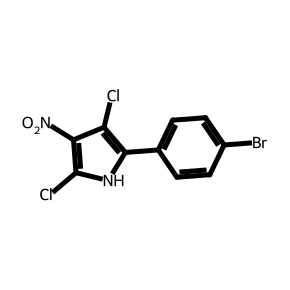 O=[N+]([O-])c1c(Cl)[nH]c(-c2ccc(Br)cc2)c1Cl